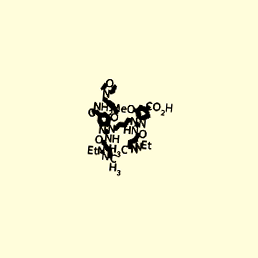 CCn1nc(C)cc1C(=O)Nc1nc2cc(C(=O)O)cc(OC)c2n1CC=CCn1c(NC(=O)c2cc(C)nn2CC)nc2cc(C(N)=O)cc(OCC#CCN3CCOCC3)c21